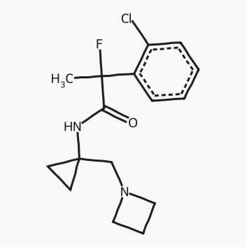 CC(F)(C(=O)NC1(CN2CCC2)CC1)c1ccccc1Cl